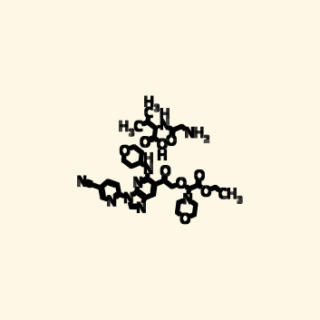 CC(C)[C@H](NC(=O)CN)C(=O)O.CCOC(=O)C(OCC(=O)c1cc2ncn(-c3ccc(C#N)cn3)c2nc1NC1CCOCC1)N1CCOCC1